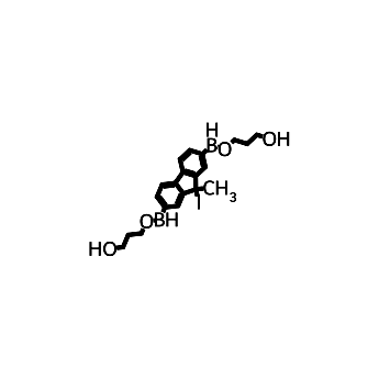 CC1(I)c2cc(BOCCCO)ccc2-c2ccc(BOCCCO)cc21